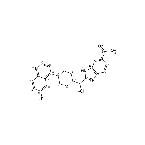 CC(c1nc2ccc(C(=O)O)cc2[nH]1)C1CCC(c2ccnc3ccc(F)cc23)CC1